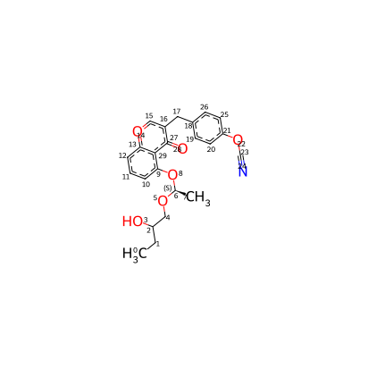 CCC(O)CO[C@H](C)Oc1cccc2occ(Cc3ccc(OC#N)cc3)c(=O)c12